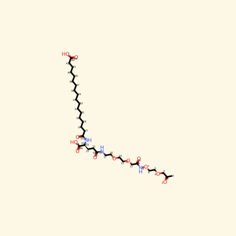 CC(=O)COCCONC(=O)COCCOCCNC(=O)CC[C@H](NC(=O)CCCCCCCCCCCCCCCCC(=O)O)C(=O)O